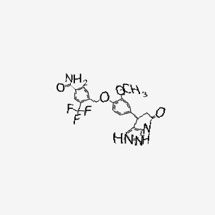 COc1cc(C2CC(=O)Nc3n[nH]cc32)ccc1OCc1ccc(C(N)=O)cc1C(F)(F)F